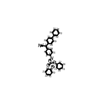 N#CC(=C1C=CC(=NOP(=O)(Oc2ccccc2)Oc2ccccc2)C=C1)c1ccc(-c2ccccc2)cc1